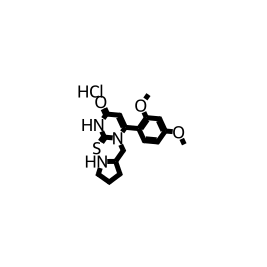 COc1ccc(-c2cc(=O)[nH]c(=S)n2CC2CCCN2)c(OC)c1.Cl